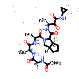 CCC[C@H](NC(=O)C1[C@H]2CCC[C@H]2CN1C(=O)[C@@H](NC(=O)[C@@H](NC(=O)[C@@H](C)NC(=O)OC)C(C)(C)C)C(C)(C)C)C(=O)C(=O)NC1CC1